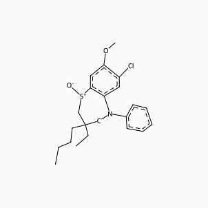 CCCCC1(CC)CN(c2ccccc2)c2cc(Cl)c(OC)cc2[S+]([O-])C1